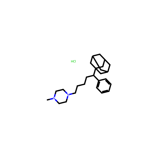 CN1CCN(CCCCC(c2ccccc2)C23CC4CC(CC(C4)C2)C3)CC1.Cl